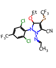 CC=NN1C(C#N)=C(SC(F)(F)F)C(OCC)N1c1c(Cl)cc(C(F)(F)F)cc1Cl